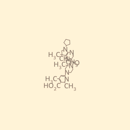 Cc1cc(N2CCN(C(=O)c3cnc4c(n3)C(C)(C)CN4C3CCCC3)C(C)(C)C2)nc(C)c1C(=O)O